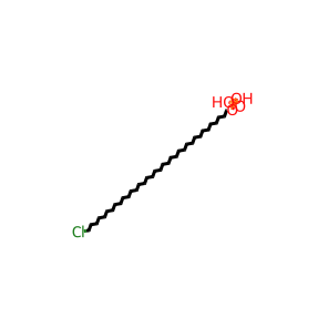 O=P(O)(O)OCCCCCCCCCCCCCCCCCCCCCCCCCCCCCCCCCCCCCl